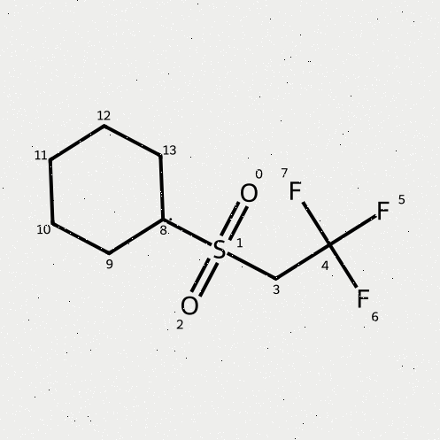 O=S(=O)(CC(F)(F)F)[C]1CCCCC1